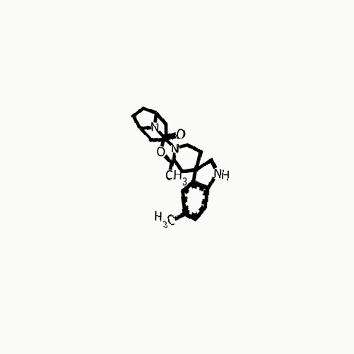 CCOC(=O)N1C2CCC1CC(N1CCC3(CC1)CNc1ccc(C)cc13)C2